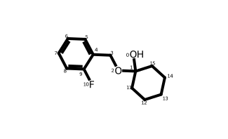 OC1(OCc2ccccc2F)CCCCC1